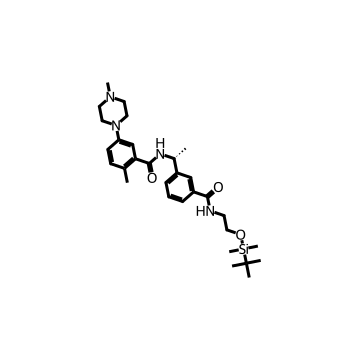 Cc1ccc(N2CCN(C)CC2)cc1C(=O)N[C@H](C)c1cccc(C(=O)NCCO[Si](C)(C)C(C)(C)C)c1